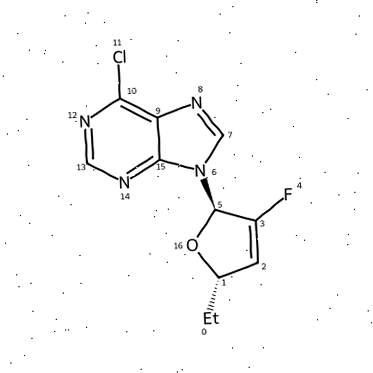 CC[C@H]1C=C(F)[C@H](n2cnc3c(Cl)ncnc32)O1